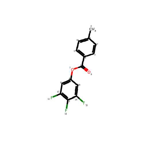 Cc1ccc(C(=O)Oc2cc(F)c(F)c(F)c2)cc1